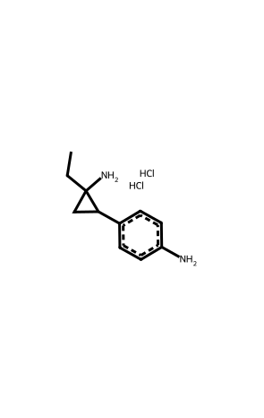 CCC1(N)CC1c1ccc(N)cc1.Cl.Cl